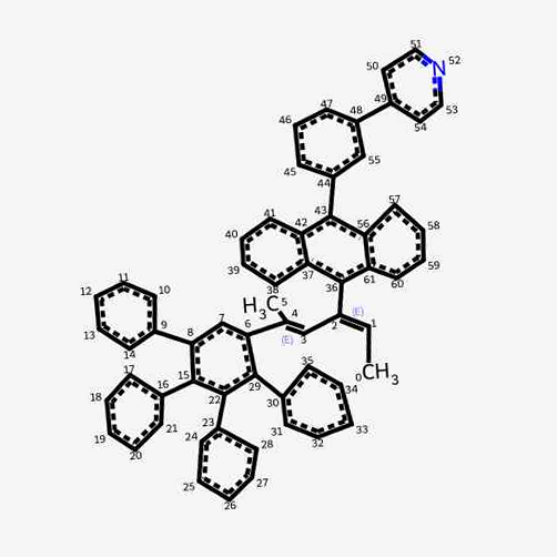 C/C=C(\C=C(/C)c1cc(-c2ccccc2)c(-c2ccccc2)c(-c2ccccc2)c1-c1ccccc1)c1c2ccccc2c(-c2cccc(-c3ccncc3)c2)c2ccccc12